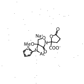 COC1(N(C(C)=O)c2cccs2)CON(C2(C(=O)[O-])CCC(=O)O2)C1=O.[Na+]